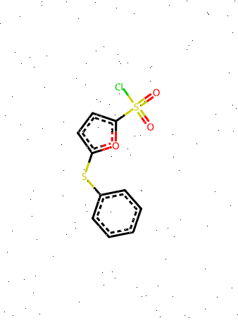 O=S(=O)(Cl)c1ccc(Sc2ccccc2)o1